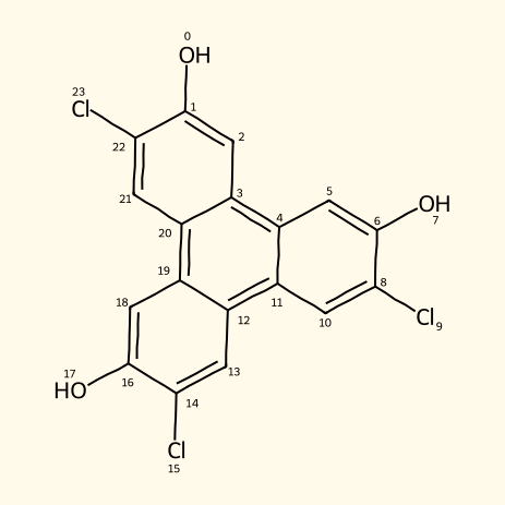 Oc1cc2c3cc(O)c(Cl)cc3c3cc(Cl)c(O)cc3c2cc1Cl